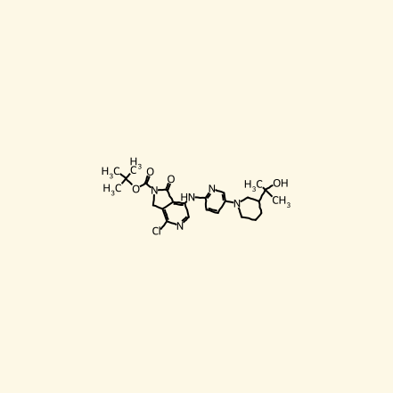 CC(C)(C)OC(=O)N1Cc2c(Cl)ncc(Nc3ccc(N4CCCC(C(C)(C)O)C4)cn3)c2C1=O